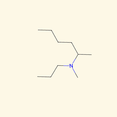 CCCCC(C)N(C)CCC